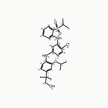 CC(C)Oc1cc(C(C)(C)CO)ccc1Nc1ncc(Cl)c(Nc2ccccc2S(=O)(=O)C(C)C)n1